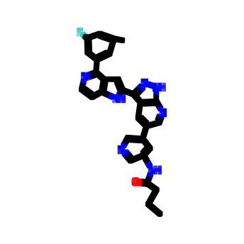 CCCC(=O)Nc1cncc(-c2cnc3[nH]nc(-c4cc5c(-c6cc(C)cc(F)c6)nccc5[nH]4)c3c2)c1